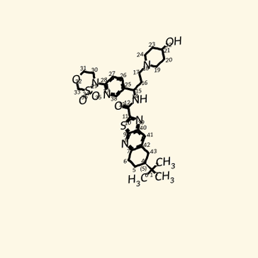 CC(C)(C)[C@H]1CCc2nc3sc(C(=O)NC(CCN4CCC(O)CC4)c4ccc(N5CCOCS5(=O)=O)nc4)nc3cc2C1